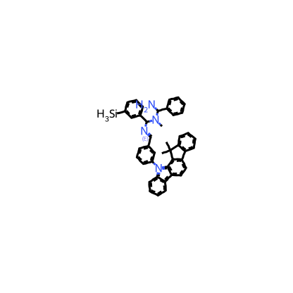 CN(C(N)c1ccccc1)C(/N=C/c1cccc(-n2c3ccccc3c3ccc4c(c32)C(C)(C)c2ccccc2-4)c1)c1cccc([SiH3])c1